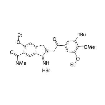 Br.CCOc1cc2c(cc1C(=O)NC)C(=N)N(CC(=O)c1cc(OCC)c(OC)c(C(C)(C)C)c1)C2